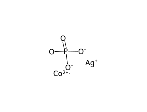 O=P([O-])([O-])[O-].[Ag+].[Co+2]